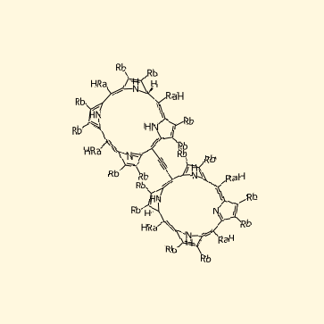 [Rb][C]1=[C]([Rb])/C2=[C](\[RaH])c3[nH]c([c]([Rb])[c]3[Rb])/C(C#C/C3=c4/[nH]/c([c]([Rb])[c]4[Rb])=[C](/[RaH])[C@@H]4N/C(=[C](/[RaH])c5[nH]c([c]([Rb])[c]5[Rb])/[C]([RaH])=C5N=C3[C]([Rb])=[C]\5[Rb])[C]([Rb])=[C]4[Rb])=C3\N[C@H]([C]([Rb])=[C]3[Rb])/[C]([RaH])=c3\[nH]/c([c]([Rb])[c]3[Rb])=[C](/[RaH])C1=N2